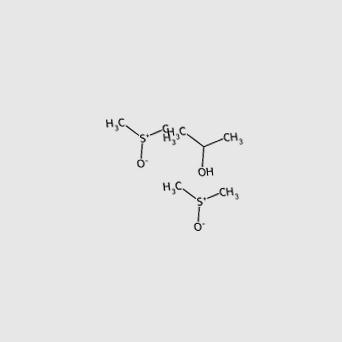 CC(C)O.C[S+](C)[O-].C[S+](C)[O-]